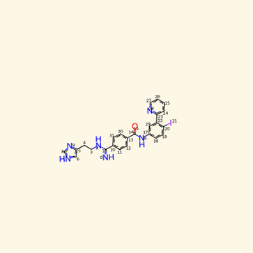 N=C(NCCc1c[nH]cn1)c1ccc(C(=O)Nc2ccc(I)c(-c3ccccn3)c2)cc1